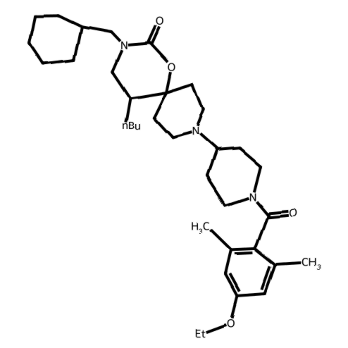 CCCCC1CN(CC2CCCCC2)C(=O)OC12CCN(C1CCN(C(=O)c3c(C)cc(OCC)cc3C)CC1)CC2